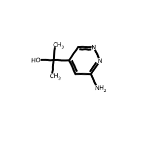 CC(C)(O)c1cnnc(N)c1